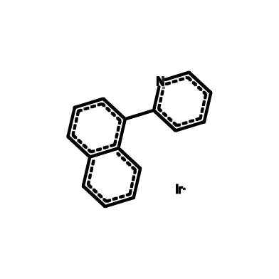 [Ir].c1ccc(-c2cccc3ccccc23)nc1